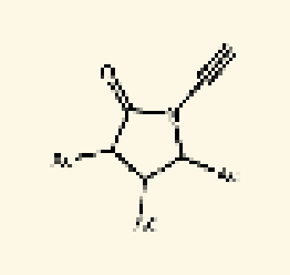 C#CN1C(=O)C(C(C)=O)C(C(C)=O)C1C(C)=O